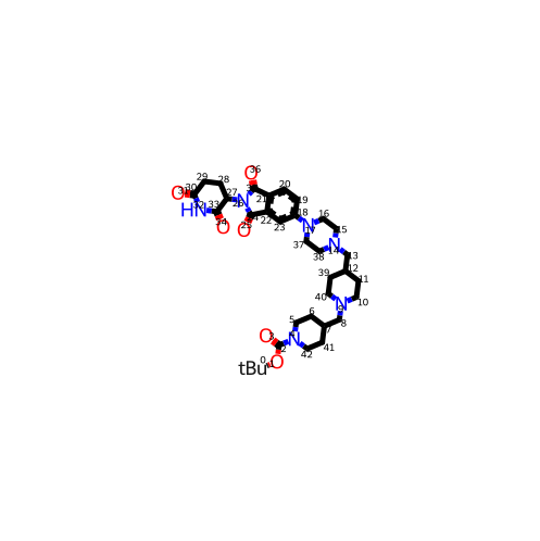 CC(C)(C)OC(=O)N1CCC(CN2CCC(CN3CCN(c4ccc5c(c4)C(=O)N(C4CCC(=O)NC4=O)C5=O)CC3)CC2)CC1